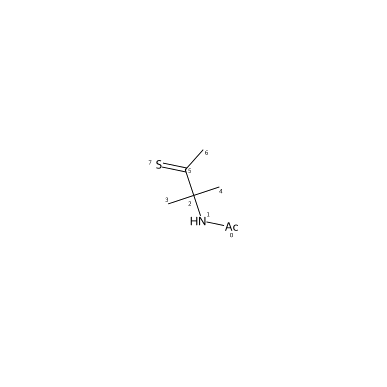 CC(=O)NC(C)(C)C(C)=S